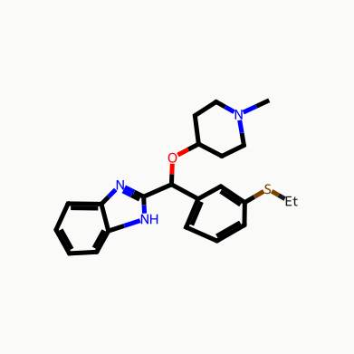 CCSc1cccc(C(OC2CCN(C)CC2)c2nc3ccccc3[nH]2)c1